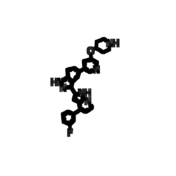 Fc1cccc(-c2ccnc3[nH]c(-c4n[nH]c5ccc(-c6cncc(OC7CCNCC7)c6)cc45)cc23)c1